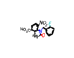 CCCC(=O)N(Cc1ccccc1F)c1c([N+](=O)[O-])ccc(C(=O)O)c1CC